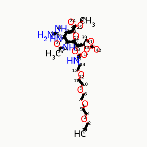 C#CCOCCOCCOCCOCCNC(=O)O[C@@H]([C@@H]1OC(C(=O)OC)=C[C@H](NC(=N)N)[C@H]1NC(C)=O)[C@H]1COC(=O)O1